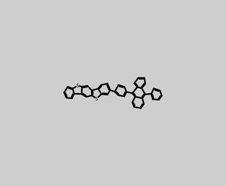 c1ccc(-c2c3ccccc3c(-c3ccc(-c4ccc5c(c4)sc4cc6c(cc45)sc4ccccc46)cc3)c3ccccc23)cc1